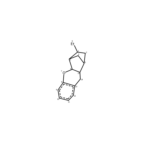 CCC1CC2CC1C1Oc3ccccc3CC21